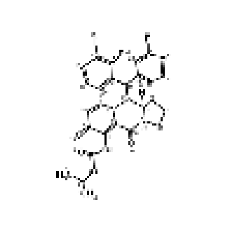 CC(C)OC(=O)Oc1c2n(ncc1=O)[C@@H](C(c1cccc(F)c1)c1cccc(F)c1F)[C@H]1CCCN1C2=O